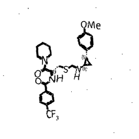 COc1ccc([C@@H]2C[C@H]2NCSC[C@H](NC(=O)c2ccc(C(F)(F)F)cc2)C(=O)N2CCCCC2)cc1